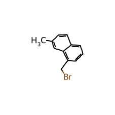 Cc1ccc2cccc(CBr)c2c1